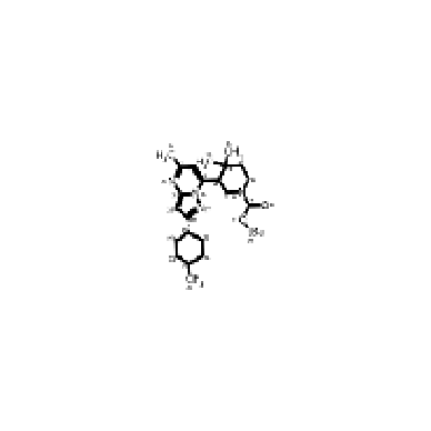 Cc1cc(C2CN(C(=O)OC(C)(C)C)CCC2(C)C)n2nc([C@H]3CC[C@H](C(F)(F)F)CC3)cc2n1